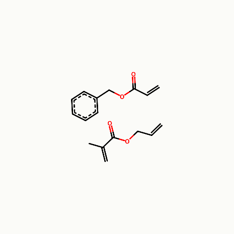 C=CC(=O)OCc1ccccc1.C=CCOC(=O)C(=C)C